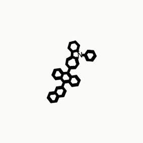 C1=C(c2c3ccccc3c(-c3ccc4ccccc4c3)c3ccccc23)CC=C2C(=C1)N(c1ccccc1)C1CCCCC21